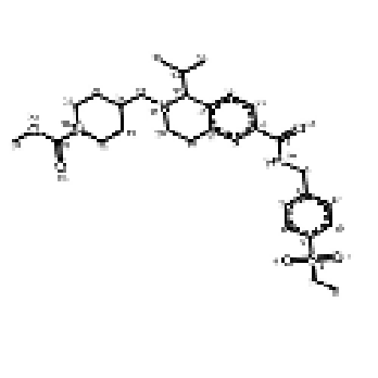 CCS(=O)(=O)c1ccc(CNC(=O)c2ccc3c(c2)CCN(CC2CCN(C(=O)OC)CC2)C3C(C)C)cc1